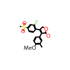 COc1ccc(C2=C(c3ccc(S(C)(=O)=O)cc3F)COC2=O)cc1C